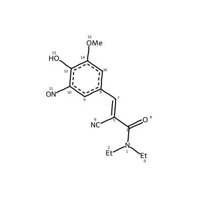 CCN(CC)C(=O)/C(C#N)=C/c1cc(N=O)c(O)c(OC)c1